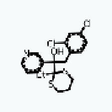 CCC1(C(O)(Cc2ccc(Cl)cc2Cl)c2cccnc2)SCCCS1